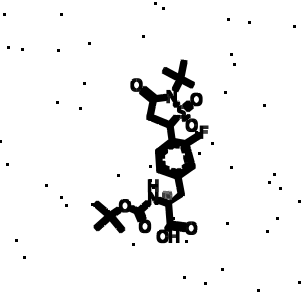 CC(C)(C)OC(=O)N[C@@H](Cc1ccc(C2CC(=O)N(C(C)(C)C)S2(=O)=O)c(F)c1)C(=O)O